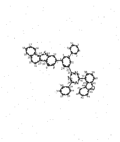 c1ccc(-c2cc(-c3ccc4c(c3)sc3c5ccccc5ccc43)cc(-c3nc(-c4ccccc4)nc(-c4cccc5oc6ccccc6c45)n3)c2)cc1